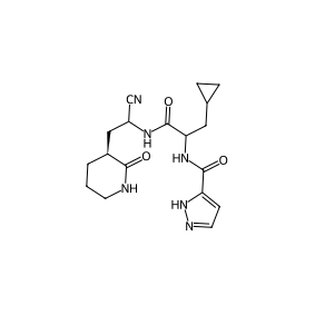 N#CC(C[C@@H]1CCCNC1=O)NC(=O)C(CC1CC1)NC(=O)c1ccn[nH]1